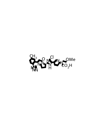 COCCN(C(=O)O)c1ccc(-c2[nH]c([C@@H]3CCc4nc(-c5cc(C)ccc5-n5cnnn5)cc(=O)n43)nc2Cl)cn1